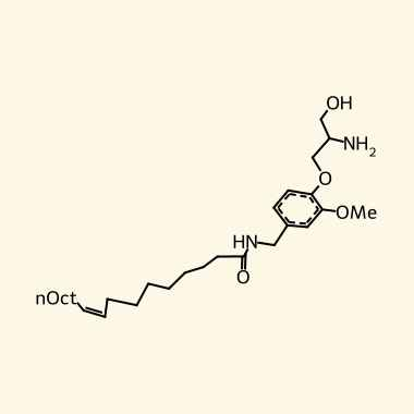 CCCCCCCC/C=C\CCCCCCCC(=O)NCc1ccc(OCC(N)CO)c(OC)c1